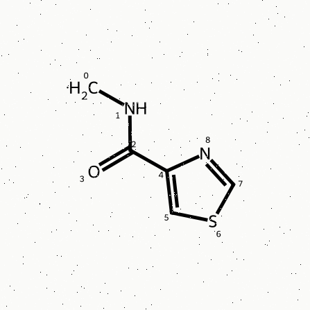 [CH2]NC(=O)c1cscn1